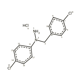 Cl.NN(Cc1ccc(Cl)cc1)c1ccc(Cl)cc1